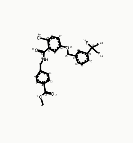 COC(=O)c1ccc(CNC(=O)c2cc(OCc3cccc(C(F)(F)F)c3)ccc2Cl)cc1